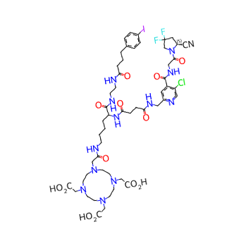 N#C[C@@H]1CC(F)(F)CN1C(=O)CNC(=O)c1cc(CNC(=O)CCC(=O)NC(CCCCNC(=O)CN2CCN(CC(=O)O)CCN(CC(=O)O)CCN(CC(=O)O)CC2)C(=O)NCCNC(=O)CCCc2ccc(I)cc2)ncc1Cl